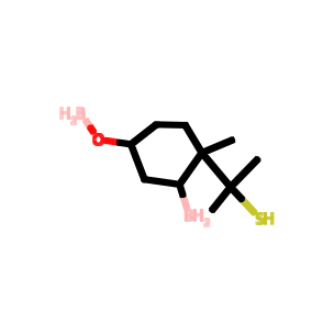 BOC1CCC(C)(C(C)(C)S)C(B)C1